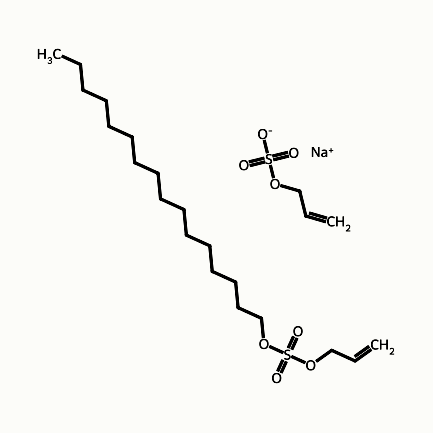 C=CCOS(=O)(=O)OCCCCCCCCCCCCCCCC.C=CCOS(=O)(=O)[O-].[Na+]